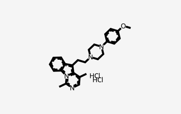 COc1ccc(N2CCN(CCc3c4ccccc4n4c(C)ncc(C)c34)CC2)cc1.Cl.Cl